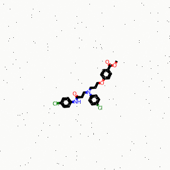 COC(=O)c1ccc(OCCCN(CCC(=O)Nc2ccc(Cl)cc2)c2ccc(Cl)cc2)cc1